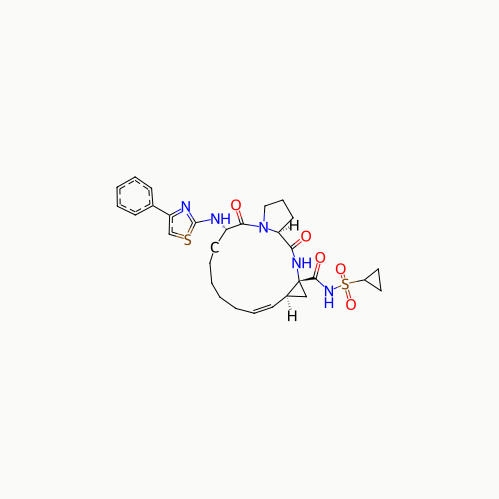 O=C1N[C@]2(C(=O)NS(=O)(=O)C3CC3)C[C@H]2/C=C\CCCCC[C@H](Nc2nc(-c3ccccc3)cs2)C(=O)N2CCC[C@@H]12